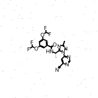 Cc1nc([C@H](C)NC(=O)c2cc(OC(F)F)cc(OC(F)F)c2)n(-c2cc(C#N)ncn2)n1